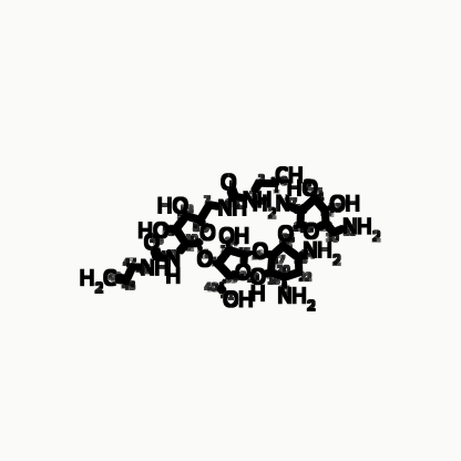 C=CCNC(=O)NCC1O[C@H](O[C@@H]2[C@H](O)[C@H](OC3C(O)[C@H](N)CC(N)[C@H]3O[C@H]3OC(CN)[C@@H](O)C(O)C3N)O[C@@H]2CO)C(NC(=O)NCC=C)C(O)[C@@H]1O